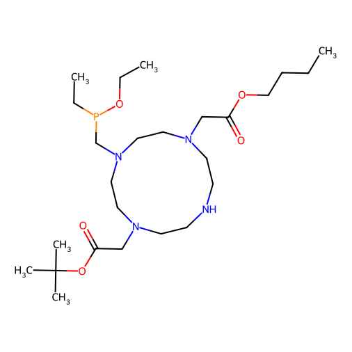 CCCCOC(=O)CN1CCNCCN(CC(=O)OC(C)(C)C)CCN(CP(CC)OCC)CC1